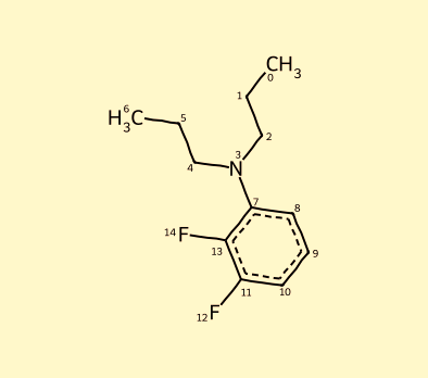 CCCN(CCC)c1cccc(F)c1F